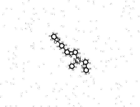 c1ccc(-c2nc(-c3cccc4c3sc3ccccc34)nc(-c3cccc4c3sc3ccc(-c5ccc(-c6nc7ccccc7o6)cc5)cc34)n2)cc1